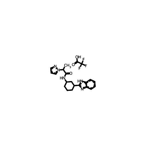 CC(C(=O)NC1CCCC(c2nc3ccccc3[nH]2)C1)n1cccn1.O=C(O)C(F)(F)F